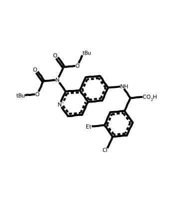 CCc1cc(C(Nc2ccc3c(N(C(=O)OC(C)(C)C)C(=O)OC(C)(C)C)nccc3c2)C(=O)O)ccc1Cl